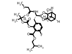 CSCC(=O)N[C@@H](Cc1ccc(F)c(C(=O)OCC(C)C)c1OC(=O)OC(C)(C)C)B1OC2C[C@@H]3C[C@@H](C3(C)C)[C@]2(C)O1